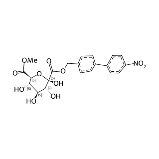 COC(=O)[C@H]1O[C@](O)(C(=O)OCc2ccc(-c3ccc([N+](=O)[O-])cc3)cc2)[C@H](O)[C@@H](O)[C@@H]1O